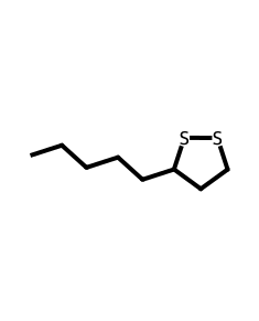 CCCCCC1CCSS1